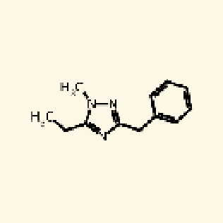 CCc1nc(Cc2ccccc2)nn1C